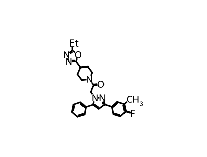 CCc1nnc(C2CCN(C(=O)Cn3nc(-c4ccc(F)c(C)c4)cc3-c3ccccc3)CC2)o1